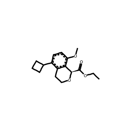 CCOC(=O)[C@H]1OCCc2c(C3CCC3)ccc(OC)c21